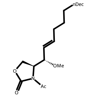 CCCCCCCCCCCCC/C=C/[C@H](OC)[C@@H]1COC(=O)N1C(C)=O